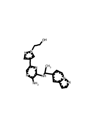 CC(Nc1nc(-c2cnn(CCO)c2)cnc1N)c1ccn2nccc2c1